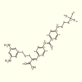 Nc1cc(N)cc(CCC/C(=C\c2ccc(OC(=O)c3ccc(OCCCC(F)(F)F)cc3)cc2)C(=O)O)c1